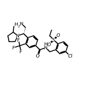 CCS(=O)(=O)c1ccc(Cl)cc1CNC(=O)c1ccc([C@@H](CN)N2CCCC2C)c(C(F)(F)F)c1